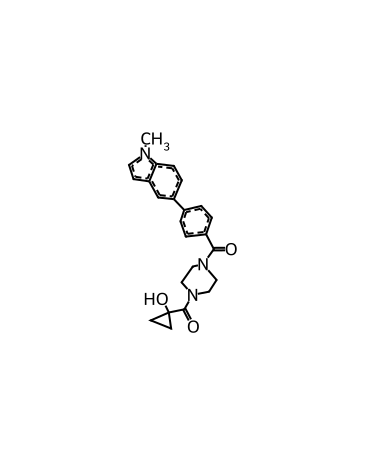 Cn1ccc2cc(-c3ccc(C(=O)N4CCN(C(=O)C5(O)CC5)CC4)cc3)ccc21